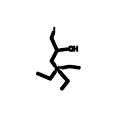 CC[N+](CC)(CC)CC(O)CI